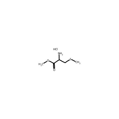 COC(=O)C(N)CSC.Cl